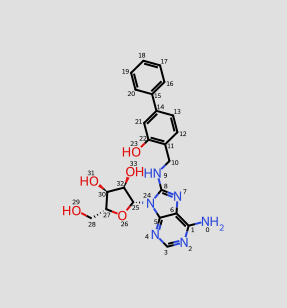 Nc1ncnc2c1nc(NCc1ccc(-c3ccccc3)cc1O)n2[C@@H]1O[C@H](CO)[C@@H](O)[C@H]1O